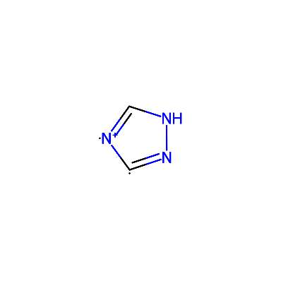 [C]1=NNC=[N+]1